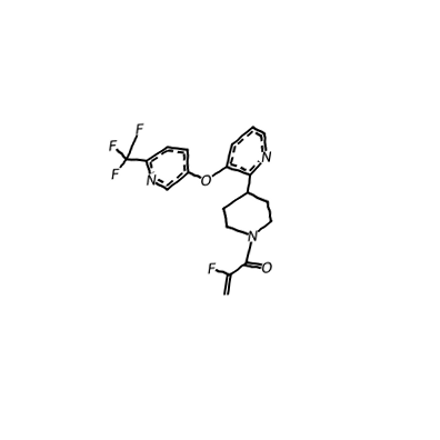 C=C(F)C(=O)N1CCC(c2ncccc2Oc2ccc(C(F)(F)F)nc2)CC1